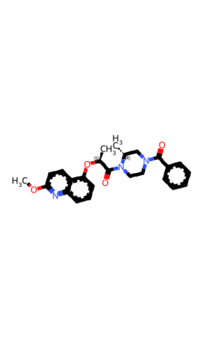 COc1ccc2c(O[C@@H](C)C(=O)N3CCN(C(=O)c4ccccc4)C[C@H]3C)cccc2n1